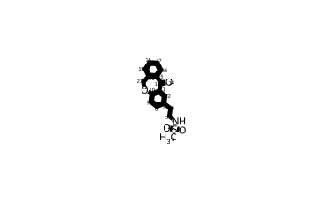 CS(=O)(=O)NCCc1ccc2c(c1)C(=O)c1ccccc1CO2